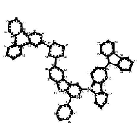 c1ccc(-c2nc(-n3c4ccccc4c4cc(C5c6ccccc6-c6ccccc65)ccc43)cc3c2sc2ccc(-c4cccc(-c5ccc6c7ccccc7c7ccccc7c6c5)c4)cc23)cc1